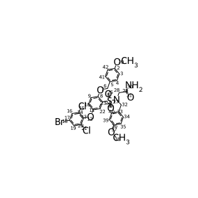 COc1ccc(COc2ccc(Oc3c(Cl)cc(Br)cc3Cl)cc2S(=O)(=O)N(CC(N)=O)Cc2ccc(OC)cc2)cc1